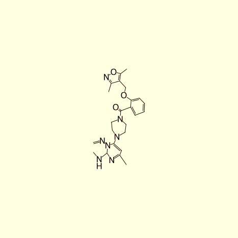 C=NN1C(N2CCN(C(=O)c3ccccc3OCc3c(C)noc3C)CC2)=CC(C)=NC1NC